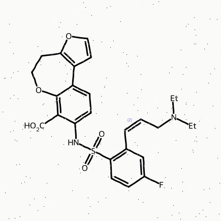 CCN(CC)C/C=C\c1cc(F)ccc1S(=O)(=O)Nc1ccc2c(c1C(=O)O)OCCc1occc1-2